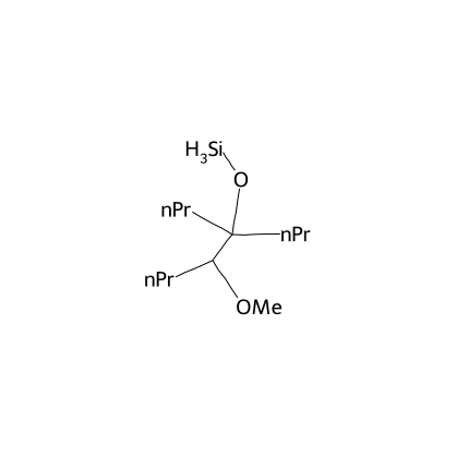 CCCC(OC)C(CCC)(CCC)O[SiH3]